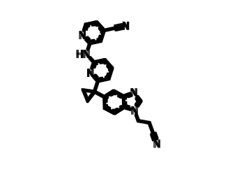 N#CCCn1cnc2cc(C3(c4cccc(Nc5cc(C#N)ccn5)n4)CC3)ccc21